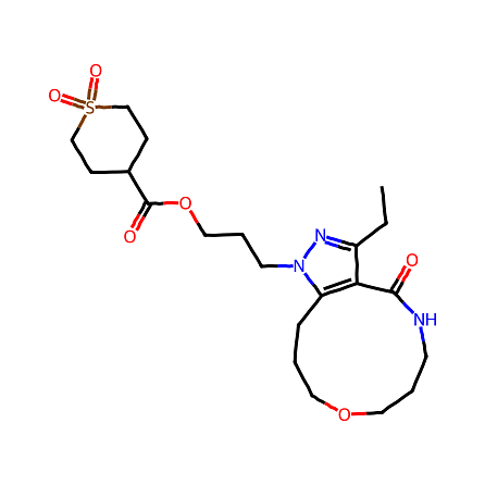 CCc1nn(CCCOC(=O)C2CCS(=O)(=O)CC2)c2c1C(=O)NCCCOCCC2